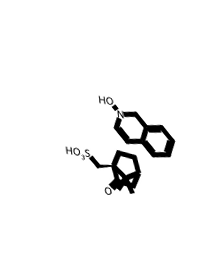 CC1(C)C2CC[C@@]1(CS(=O)(=O)O)C(=O)C2.ON1C=Cc2ccccc2C1